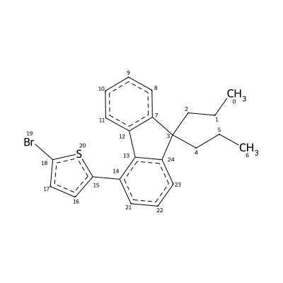 CCCC1(CCC)c2ccccc2-c2c(-c3ccc(Br)s3)cccc21